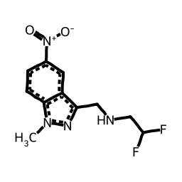 Cn1nc(CNCC(F)F)c2cc([N+](=O)[O-])ccc21